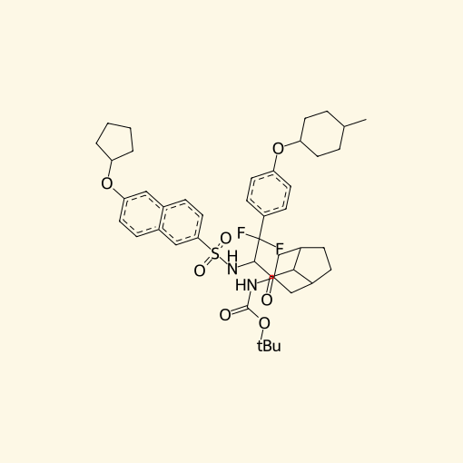 CC1CCC(Oc2ccc(C(F)(F)C(NS(=O)(=O)c3ccc4cc(OC5CCCC5)ccc4c3)C(=O)C3C4CCC3CC(NC(=O)OC(C)(C)C)C4)cc2)CC1